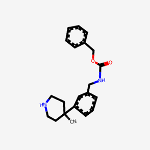 N#CC1(c2cccc(CNC(=O)OCc3ccccc3)c2)CCNCC1